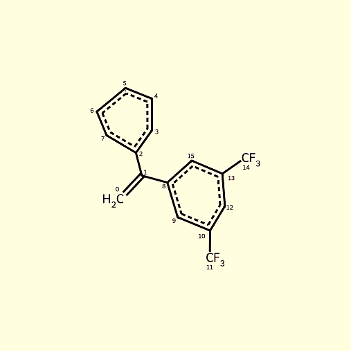 C=C(c1cc[c]cc1)c1cc(C(F)(F)F)cc(C(F)(F)F)c1